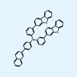 c1cc(-c2ccc3c(c2)sc2ccccc23)cc(N(c2ccc(-c3ccc4ccccc4c3)cc2)c2cccc(-c3ccc4c(c3)sc3ccccc34)c2)c1